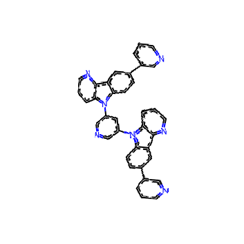 c1cncc(-c2ccc3c(c2)c2ncccc2n3-c2cncc(-n3c4ccc(-c5cccnc5)cc4c4ncccc43)c2)c1